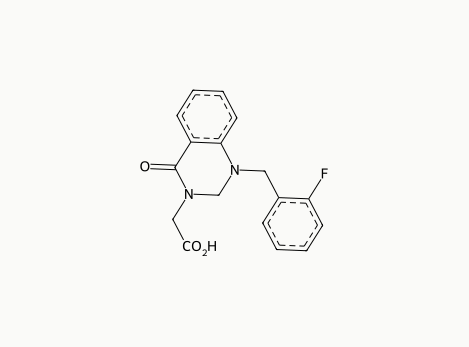 O=C(O)CN1CN(Cc2ccccc2F)c2ccccc2C1=O